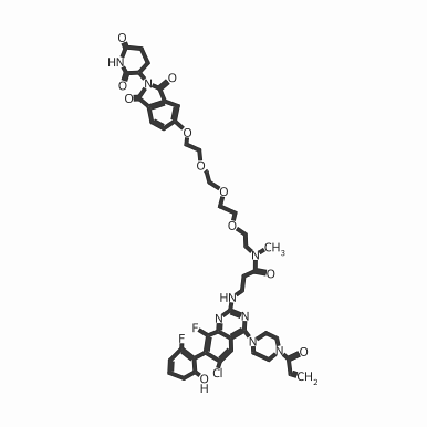 C=CC(=O)N1CCN(c2nc(NCCC(=O)N(C)CCOCCOCCOCCOc3ccc4c(c3)C(=O)N(C3CCC(=O)NC3=O)C4=O)nc3c(F)c(C4=C(F)C=CCC4O)c(Cl)cc23)CC1